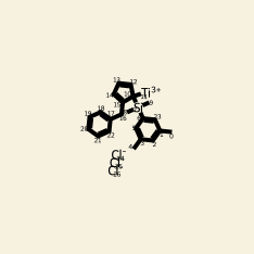 Cc1cc(C)cc([Si](C)(C)[C]2([Ti+3])C=CC=C2Cc2ccccc2)c1.[Cl-].[Cl-].[Cl-]